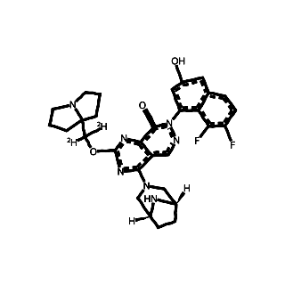 [2H]C([2H])(Oc1nc(N2C[C@H]3CC[C@@H](C2)N3)c2cnn(-c3cc(O)cc4ccc(F)c(F)c34)c(=O)c2n1)C12CCCN1CCC2